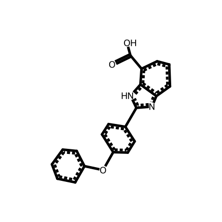 O=C(O)c1cccc2nc(-c3ccc(Oc4ccccc4)cc3)[nH]c12